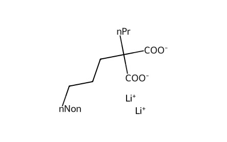 CCCCCCCCCCCCC(CCC)(C(=O)[O-])C(=O)[O-].[Li+].[Li+]